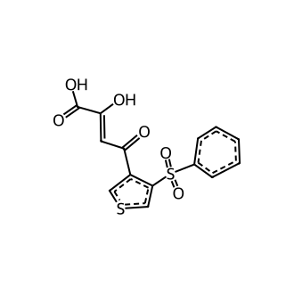 O=C(O)C(O)=CC(=O)c1cscc1S(=O)(=O)c1ccccc1